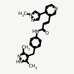 Cc1n[nH]c(C)c1Cc1ccc(NC(=O)/C=C/c2cnccc2-c2cnn(C)c2)cc1